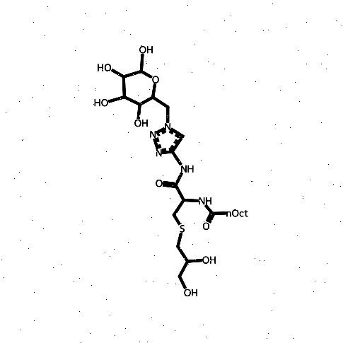 CCCCCCCCC(=O)NC(CSCC(O)CO)C(=O)Nc1cn(CC2OC(O)C(O)C(O)C2O)nn1